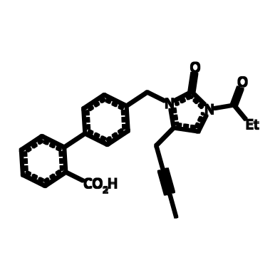 CC#CCc1cn(C(=O)CC)c(=O)n1Cc1ccc(-c2ccccc2C(=O)O)cc1